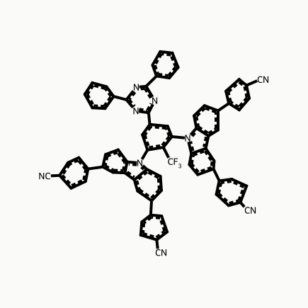 N#Cc1ccc(-c2ccc3c(c2)c2cc(-c4ccc(C#N)cc4)ccc2n3-c2cc(-c3nc(-c4ccccc4)nc(-c4ccccc4)n3)cc(-n3c4ccc(-c5ccc(C#N)cc5)cc4c4cc(-c5ccc(C#N)cc5)ccc43)c2C(F)(F)F)cc1